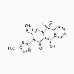 C=CCN(C(=O)C1=C(O)c2ccccc2S(=O)(=O)N1C)c1ncc(C)s1